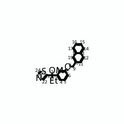 CCC(OC)(c1cccc(OCc2ccc3ccccc3c2)c1)c1cncs1